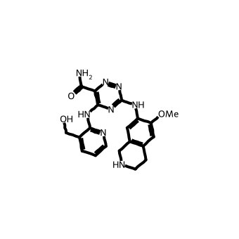 COc1cc2c(cc1Nc1nnc(C(N)=O)c(Nc3ncccc3CO)n1)CNCC2